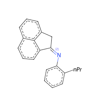 CCCc1ccccc1/N=C1/Cc2cccc3cccc1c23